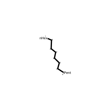 [CH2]C(CCC)CCCCCCCCCCCC